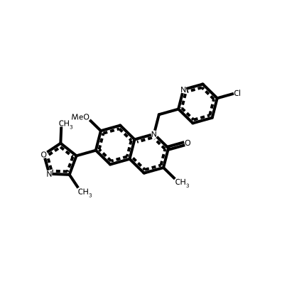 COc1cc2c(cc1-c1c(C)noc1C)cc(C)c(=O)n2Cc1ccc(Cl)cn1